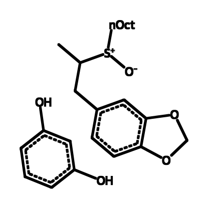 CCCCCCCC[S+]([O-])C(C)Cc1ccc2c(c1)OCO2.Oc1cccc(O)c1